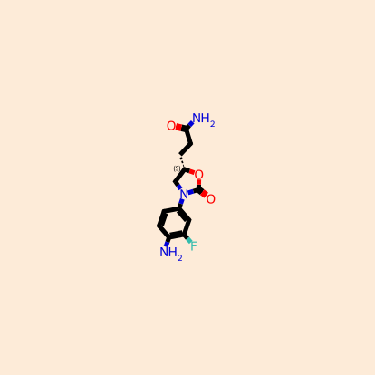 NC(=O)CC[C@H]1CN(c2ccc(N)c(F)c2)C(=O)O1